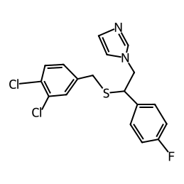 Fc1ccc(C(Cn2ccnc2)SCc2ccc(Cl)c(Cl)c2)cc1